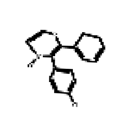 [O-][S+]1C=COC(C2=CC=CCC2)=C1c1ccc(Cl)cc1